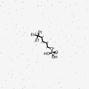 CCC(CC)(CC)CCCCOP(=O)(O)O